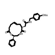 COc1ccc(CNC(=O)C[C@@H]2C/C=C/CCC(=O)O[C@H](c3ccccc3)CNC2=O)cc1